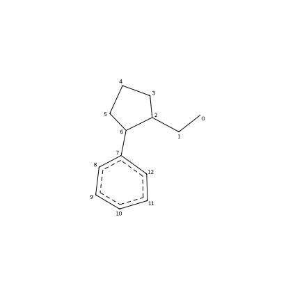 CCC1CCCC1c1ccccc1